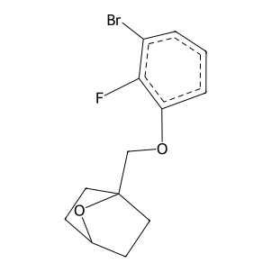 Fc1c(Br)cccc1OCC12CCC(CC1)O2